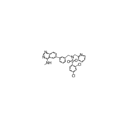 CNc1ncnc2ccc(-c3cccc(CN(Cc4ccccn4)S(=O)(=O)c4ccc(Cl)cc4Cl)c3)cc12